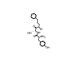 CCN(CCCc1ccccc1)C(=O)[C@@H](C)NC(=O)[C@@H](N)Cc1ccc(O)cc1.Cl